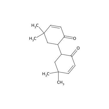 CC1(C)C=CC(=O)C(C2CC(C)(C)C=CC2=O)C1